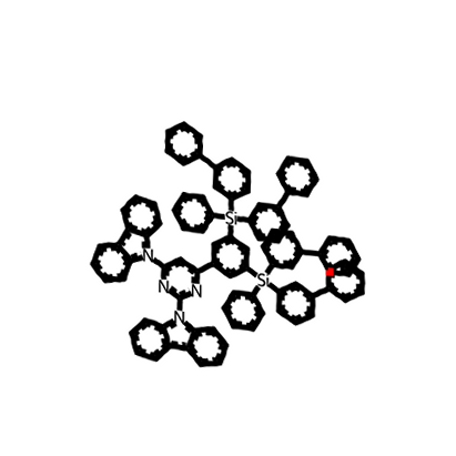 c1ccc(-c2cccc([Si](c3ccccc3)(c3cccc(-c4ccccc4)c3)c3cc(-c4cc(-n5c6ccccc6c6ccccc65)nc(-n5c6ccccc6c6ccccc65)n4)cc([Si](c4ccccc4)(c4cccc(-c5ccccc5)c4)c4cccc(-c5ccccc5)c4)c3)c2)cc1